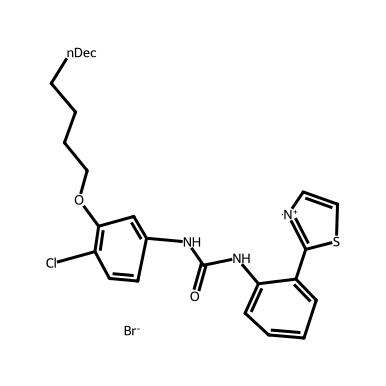 CCCCCCCCCCCCCCOc1cc(NC(=O)Nc2ccccc2C2=[N+]C=CS2)ccc1Cl.[Br-]